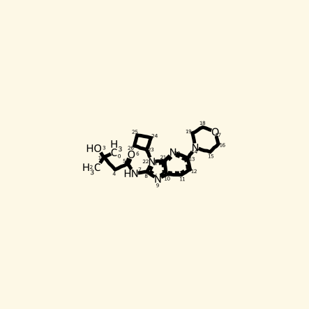 CC(C)(O)CC(=O)Nc1nc2ccc(N3CCOCC3)nc2n1C1CCC1